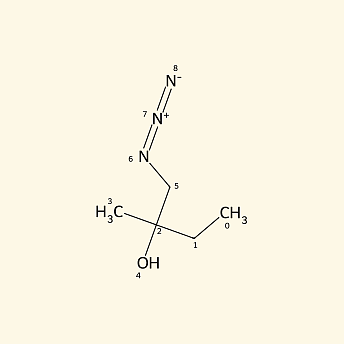 CCC(C)(O)CN=[N+]=[N-]